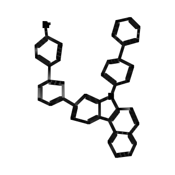 Brc1ccc(-c2cccc(-c3ccc4c5c6ccccc6ccc5n(-c5ccc(-c6ccccc6)cc5)c4c3)c2)cc1